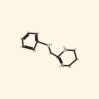 c1ccc(OCC2=NCCCO2)cc1